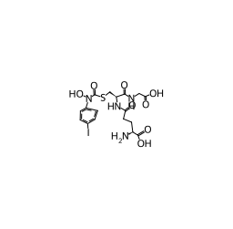 N[C@@H](CCC(=O)N[C@@H](CSC(=O)N(O)c1ccc(I)cc1)C(=O)NCC(=O)O)C(=O)O